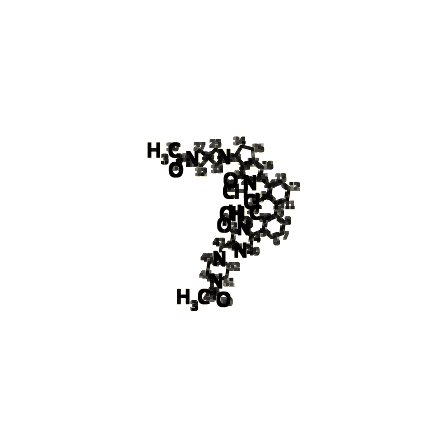 COc1nc(-c2cccc(-c3cccc(-c4cc5c(c(OC)n4)[C@@H](N4CC6(CN(C(C)=O)C6)C4)CC5)c3Cl)c2C)cnc1CN1CCN(C(C)=O)CC1